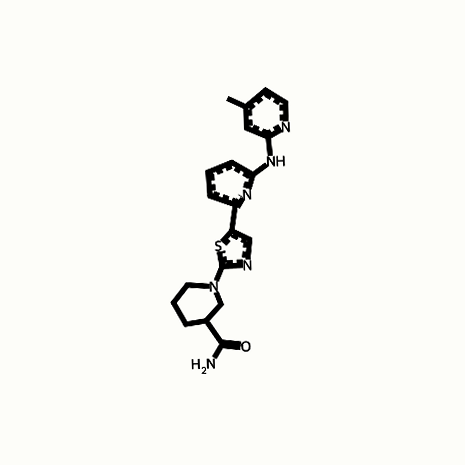 Cc1ccnc(Nc2cccc(-c3cnc(N4CCCC(C(N)=O)C4)s3)n2)c1